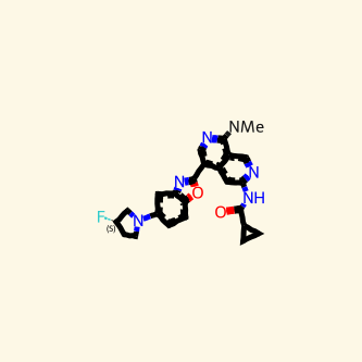 CNc1ncc(-c2nc3cc(N4CC[C@H](F)C4)ccc3o2)c2cc(NC(=O)C3CC3)ncc12